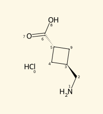 Cl.NC[C@H]1C[C@H](C(=O)O)C1